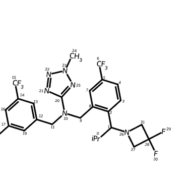 CC(C)C(c1ccc(C(F)(F)F)cc1CN(Cc1cc(C(F)(F)F)cc(C(F)(F)F)c1)c1nnn(C)n1)N1CC(F)(F)C1